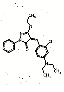 CCOC1=NN(c2ccccc2)C(=O)/C1=C\c1ccc(N(CC)CC)cc1Cl